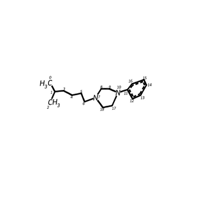 CC(C)CCCCN1CCN(c2ccccc2)CC1